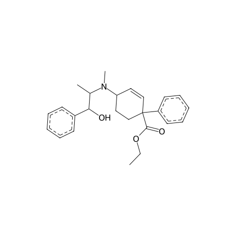 CCOC(=O)C1(c2ccccc2)C=CC(N(C)C(C)C(O)c2ccccc2)CC1